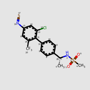 C[C@@H](NS(C)(=O)=O)c1ccc(-c2c(Cl)cc(N=S)cc2C(F)(F)F)cc1